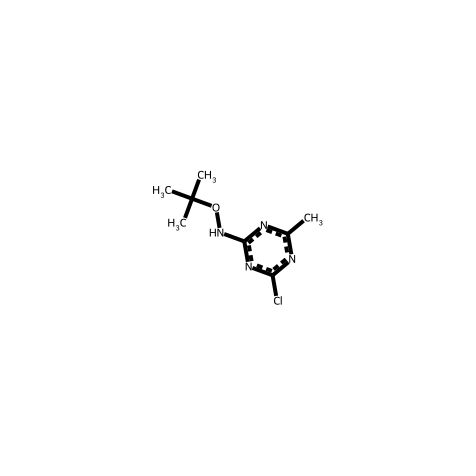 Cc1nc(Cl)nc(NOC(C)(C)C)n1